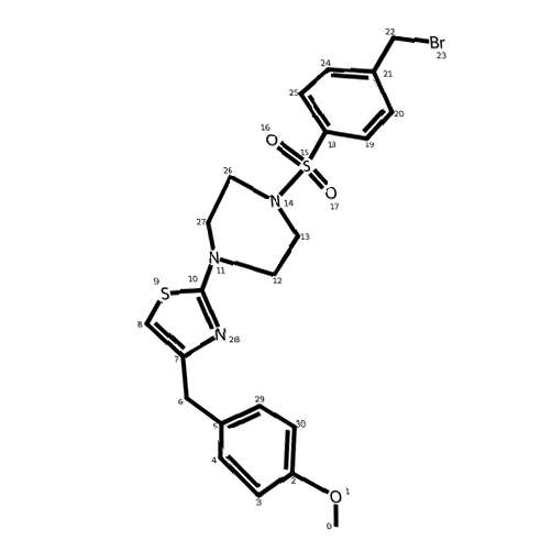 COc1ccc(Cc2csc(N3CCN(S(=O)(=O)c4ccc(CBr)cc4)CC3)n2)cc1